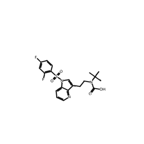 CC(C)(C)N(CCc1cn(S(=O)(=O)c2ccc(F)cc2F)c2cccnc12)C(=O)O